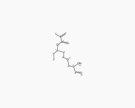 C=C(C)C(=O)O[C](CC)CCOCC(O)C=O